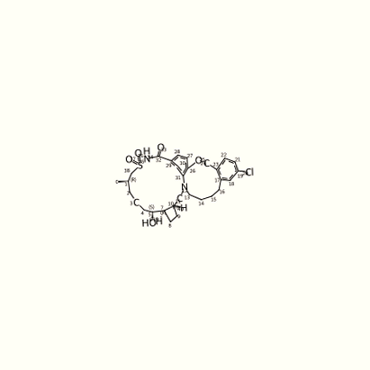 C[C@@H]1CCC[C@H](O)[C@@H]2CC[C@H]2CN2CCCCc3cc(Cl)ccc3COc3ccc(cc32)C(=O)NS(=O)(=O)C1